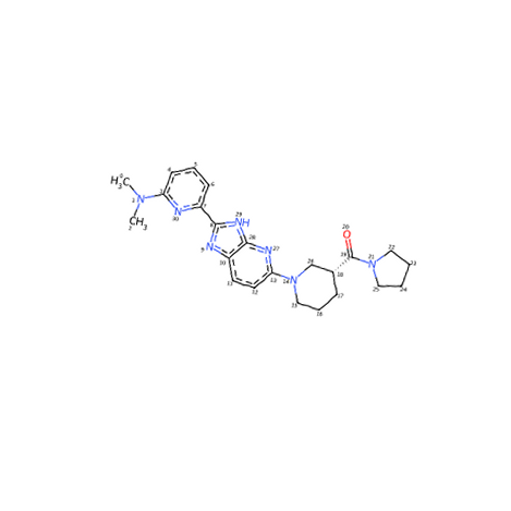 CN(C)c1cccc(-c2nc3ccc(N4CCC[C@@H](C(=O)N5CCCC5)C4)nc3[nH]2)n1